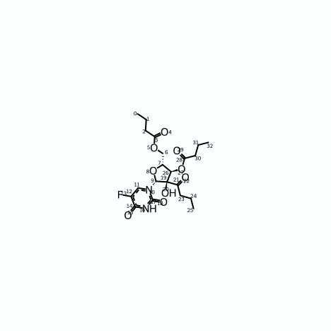 CCCC(=O)OC[C@H]1O[C@@H](n2cc(F)c(=O)[nH]c2=O)[C@@](O)(C(=O)CCC)[C@@H]1OC(=O)CCC